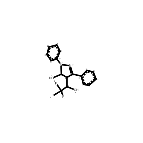 OC1C(C(O)C(F)(F)F)C(c2ccccc2)=NN1c1ccccc1